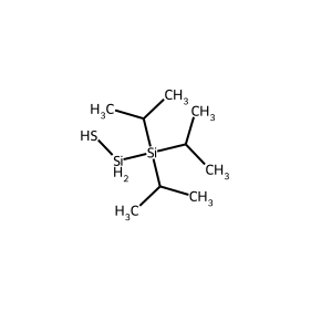 CC(C)[Si]([SiH2]S)(C(C)C)C(C)C